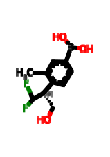 Cc1cc(B(O)O)ccc1[C@H](CO)C(F)F